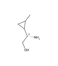 CC1CC1[C@H](N)CO